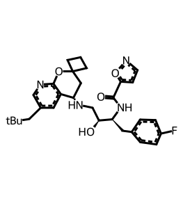 CC(C)(C)Cc1cnc2c(c1)[C@@H](NC[C@H](O)[C@H](Cc1ccc(F)cc1)NC(=O)c1ccno1)CC1(CCC1)O2